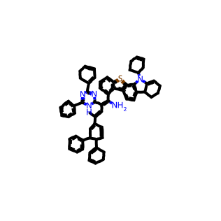 C/C(=C\C(=C(/N)c1cccc2sc3c4c(ccc3c12)C1CCCC=C1N4C1CC=CCC1)C1N=C(C2=CC=CCC2)N=C(c2ccccc2)N1)C1=CC(c2ccccc2)C(C2=CC=CCC2)C=C1